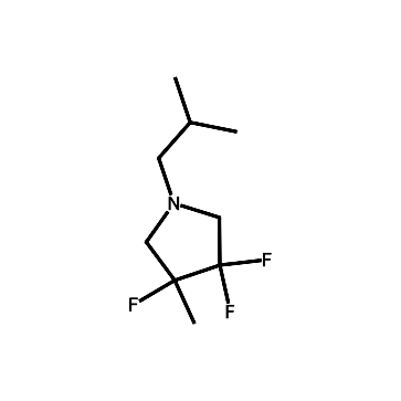 CC(C)CN1CC(C)(F)C(F)(F)C1